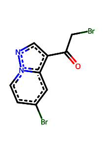 O=C(CBr)c1cnn2ccc(Br)cc12